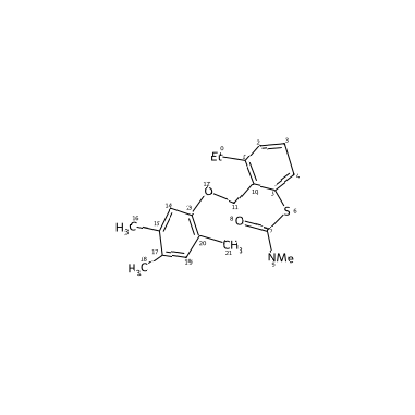 CCc1cccc(SC(=O)NC)c1COc1cc(C)c(C)cc1C